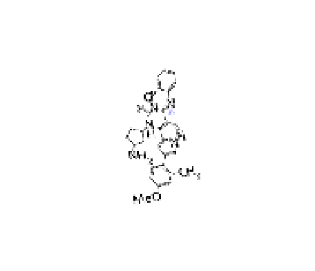 COc1ccc(-c2cc3c(NC4CCC(N)C4)c(/C(N)=N/c4ccccc4Cl)cnn3c2)c(C)c1